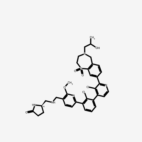 COc1nc(-c2cccc(-c3ccnc(-c4ccc5c(c4)S(=O)(=O)CCN(CC(C)O)C5)c3Cl)c2Cl)ccc1CNC[C@H]1CCC(=O)N1